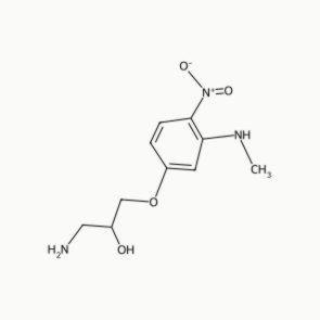 CNc1cc(OCC(O)CN)ccc1[N+](=O)[O-]